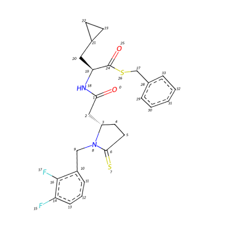 O=C(C[C@@H]1CCC(=S)N1Cc1cccc(F)c1F)N[C@@H](CC1CC1)C(=O)SCc1ccccc1